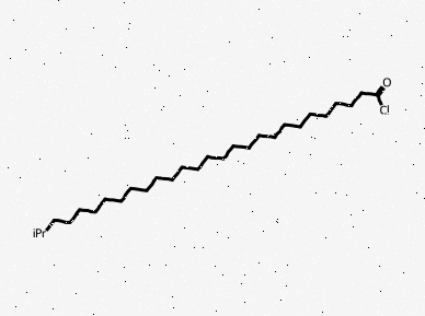 CC(C)CCCCCCCCCCCCCCCCCCCCCCCCCC(=O)Cl